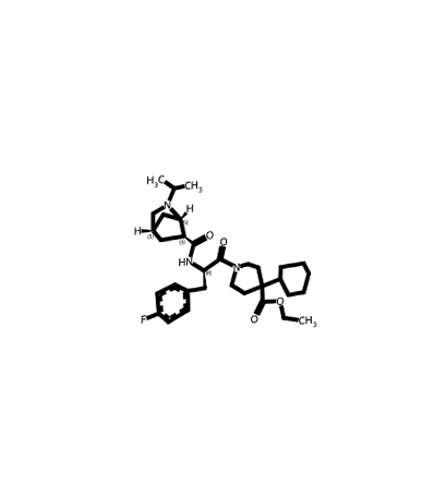 CCOC(=O)C1(C2CCCCC2)CCN(C(=O)[C@@H](Cc2ccc(F)cc2)NC(=O)[C@H]2C[C@H]3C[C@@H]2N(C(C)C)C3)CC1